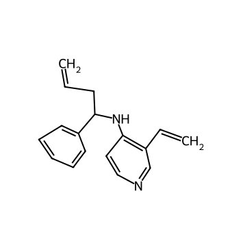 C=CCC(Nc1ccncc1C=C)c1ccccc1